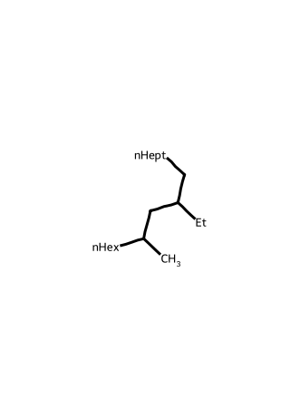 CCCCCCCCC(CC)CC(C)CCCCCC